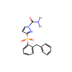 CCN(CC)C(=O)n1ccc(S(=O)(=O)c2ccccc2Cc2ccccc2)n1